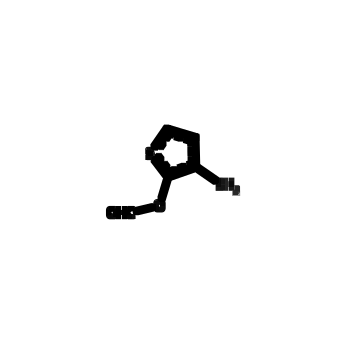 Bc1ccsc1OC=O